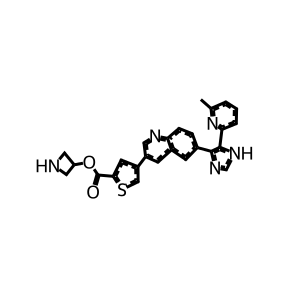 Cc1cccc(-c2[nH]cnc2-c2ccc3ncc(-c4csc(C(=O)OC5CNC5)c4)cc3c2)n1